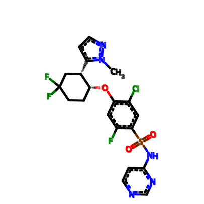 Cn1nccc1[C@H]1CC(F)(F)CC[C@H]1Oc1cc(F)c(S(=O)(=O)Nc2ccncn2)cc1Cl